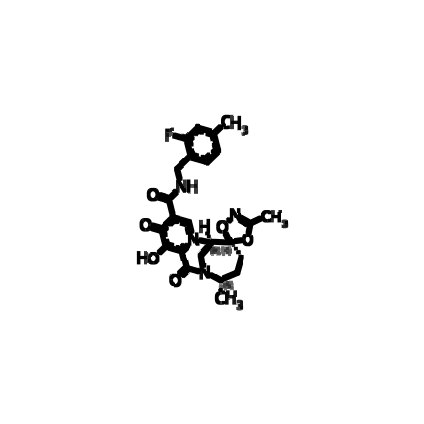 CC1=NO[C@@]2(CC[C@H](C)N3C[C@H]2n2cc(C(=O)NCc4ccc(C)cc4F)c(=O)c(O)c2C3=O)O1